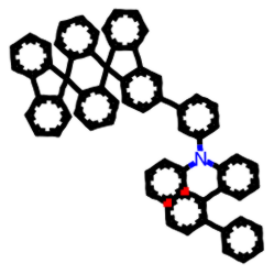 c1ccc(-c2ccccc2-c2ccccc2N(c2ccccc2)c2cccc(-c3ccc4c(c3)-c3ccccc3C43c4ccccc4C4(c5ccccc5-c5ccccc54)c4ccccc43)c2)cc1